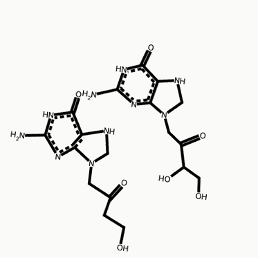 Nc1nc2c(c(=O)[nH]1)NCN2CC(=O)C(O)CO.Nc1nc2c(c(=O)[nH]1)NCN2CC(=O)CCO